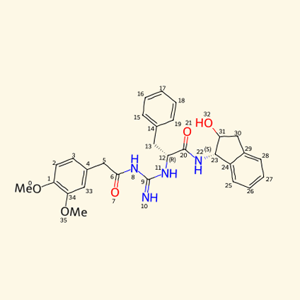 COc1ccc(CC(=O)NC(=N)N[C@H](Cc2ccccc2)C(=O)N[C@H]2c3ccccc3CC2O)cc1OC